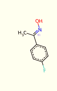 C/C(=N\O)c1ccc(F)cc1